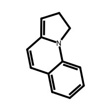 C1=Cc2ccccc2N2CCC=C12